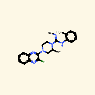 Cc1ccccc1N/C(=N/C#N)N1CCN(c2nc3ccccc3nc2Cl)CC1C(C)C